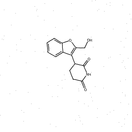 O=C1CCC(c2c(CO)oc3ccccc23)C(=O)N1